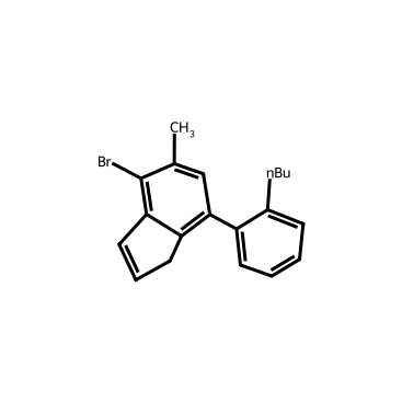 CCCCc1ccccc1-c1cc(C)c(Br)c2c1CC=C2